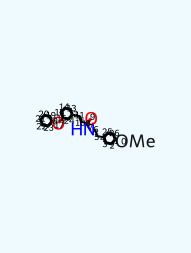 COc1ccc(CCNC(=O)/C=C/c2cccc(Oc3ccccc3)c2)cc1